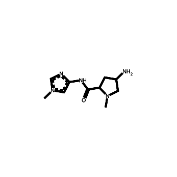 CN1CC(N)CC1C(=O)Nc1cn(C)cn1